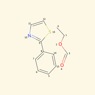 CCOC=O.c1ccc(-c2nccs2)cc1